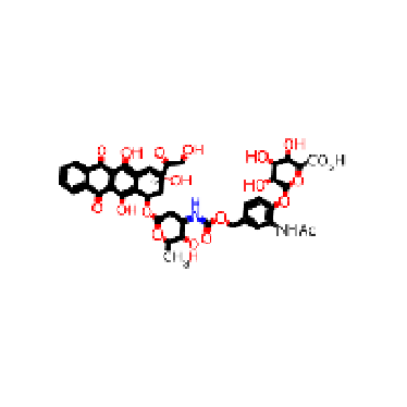 CC(=O)Nc1cc(COC(=O)NC2CC(OC3C[C@](O)(C(=O)CO)CC4=C(O)C5C(=O)c6ccccc6C(=O)C5C(O)=C43)OC(C)C2O)ccc1OC1OC(C(=O)O)C(O)C(O)C1O